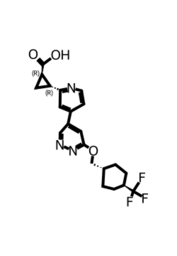 O=C(O)[C@@H]1C[C@H]1c1cc(-c2cnnc(OC[C@H]3CC[C@H](C(F)(F)F)CC3)c2)ccn1